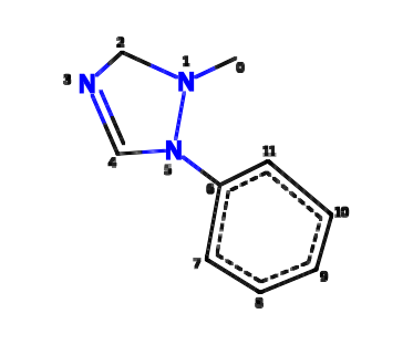 CN1CN=CN1c1ccccc1